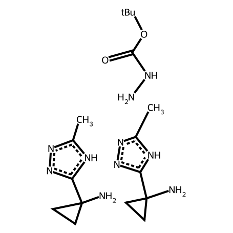 CC(C)(C)OC(=O)NN.Cc1nnc(C2(N)CC2)[nH]1.Cc1nnc(C2(N)CC2)[nH]1